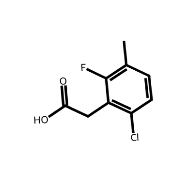 Cc1ccc(Cl)c(CC(=O)O)c1F